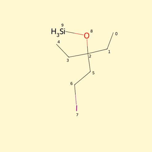 CCC(CC)(CCI)O[SiH3]